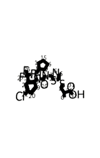 CC(CSc1cnc(NC(=O)N(CC2CCCC2)c2ccc(Cl)cc2C(F)(F)F)s1)C(=O)O